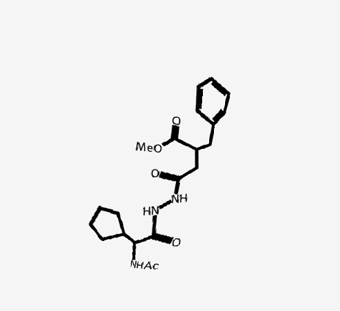 COC(=O)C(CC(=O)NNC(=O)C(NC(C)=O)C1CCCC1)Cc1ccccc1